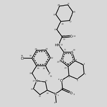 CN(C(=O)OC1CCCc2sc(NC(=O)CC3CCCCC3)nc21)C1CCN(Cc2c(F)cccc2Cl)C1